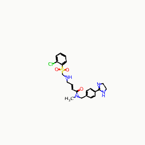 CN(Cc1ccc(C2=NCCN2)cc1)C(=O)C=CCNCS(=O)(=O)c1ccccc1Cl